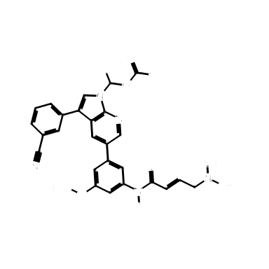 COc1cc(-c2cnc3c(c2)c(-c2cccc(C#N)c2)cn3C(C)OC(C)=O)cc(N(C)C(=O)C=CCN(C)C)c1